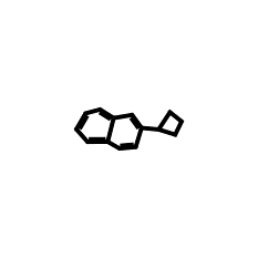 c1ccc2cc(C3CCC3)ccc2c1